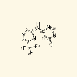 FC(F)(F)c1cccc(Nc2cc(Cl)ncn2)n1